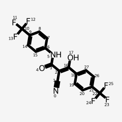 N#CC(C(=O)Nc1ccc(C(F)(F)F)cc1)=C(O)c1ccc(C(F)(F)F)cc1